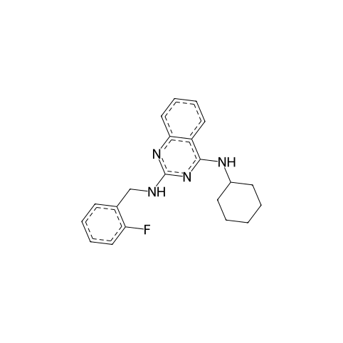 Fc1ccccc1CNc1nc(NC2CCCCC2)c2ccccc2n1